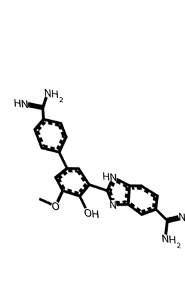 COc1cc(-c2ccc(C(=N)N)cc2)cc(-c2nc3cc(C(=N)N)ccc3[nH]2)c1O